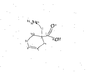 NCC1(C(=O)O)CC=CCC1